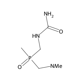 CNCP(C)(=O)CNC(N)=O